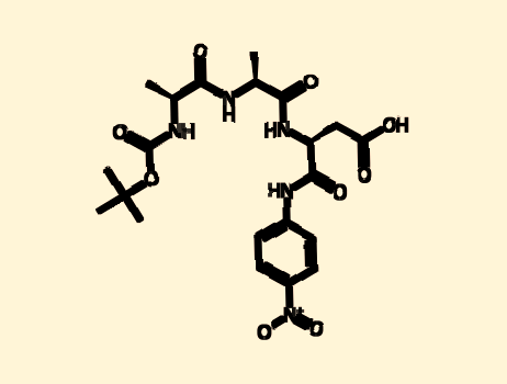 C[C@H](NC(=O)OC(C)(C)C)C(=O)N[C@@H](C)C(=O)N[C@@H](CC(=O)O)C(=O)Nc1ccc([N+](=O)[O-])cc1